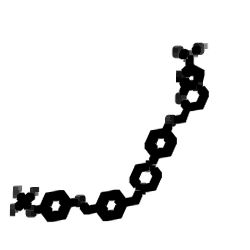 O=[N+]([O-])c1cn2c(n1)O[C@H](COc1ccc(N3CCN(Cc4ccc(COc5ccc(OC(F)(F)F)cc5)cc4)CC3)cc1)CC2